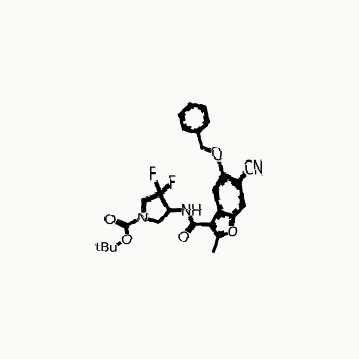 Cc1oc2cc(C#N)c(OCc3ccccc3)cc2c1C(=O)NC1CN(C(=O)OC(C)(C)C)CC1(F)F